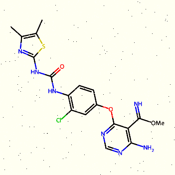 COC(=N)c1c(N)ncnc1Oc1ccc(NC(=O)Nc2nc(C)c(C)s2)c(Cl)c1